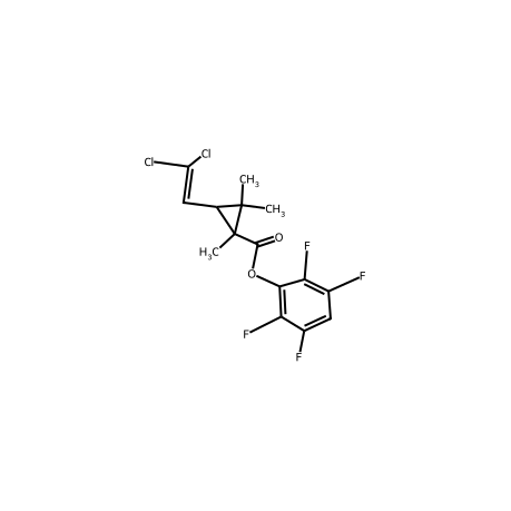 CC1(C)C(C=C(Cl)Cl)C1(C)C(=O)Oc1c(F)c(F)cc(F)c1F